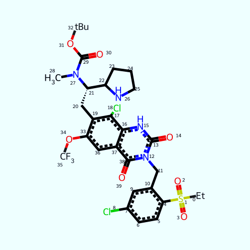 CCS(=O)(=O)c1ccc(Cl)cc1Cn1c(=O)[nH]c2c(Cl)c(C[C@@H](C3CCCN3)N(C)C(=O)OC(C)(C)C)c(OC(F)(F)F)cc2c1=O